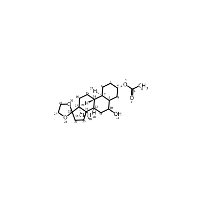 CC(=O)O[C@H]1CC[C@H]2C(C1)C(O)C[C@@H]1[C@@H]2CC[C@@]2(C)[C@H]1CCC21OCCO1